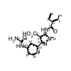 C=C/C(=C\C)C(=O)Nc1c(C(=O)O)c(-c2cc(NC(N)=O)ccn2)nn1C